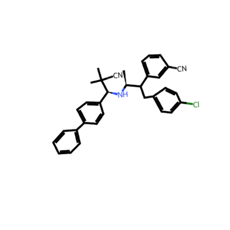 C[C@H](N[C@@H](c1ccc(-c2ccccc2)cc1)C(C)(C)C#N)C(Cc1ccc(Cl)cc1)c1cccc(C#N)c1